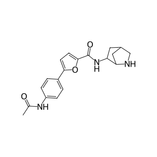 CC(=O)Nc1ccc(-c2ccc(C(=O)NC3CC4CNC3C4)o2)cc1